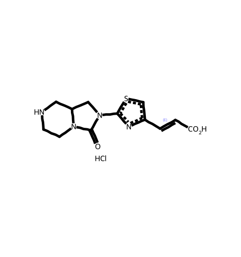 Cl.O=C(O)/C=C/c1csc(N2CC3CNCCN3C2=O)n1